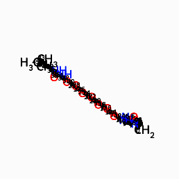 C=C1C=CC(=O)N1Cc1cn(CCOCCOCCOCCOCCOCCOCCOCCNC(=O)NCCCCC(C)(C)C)nn1